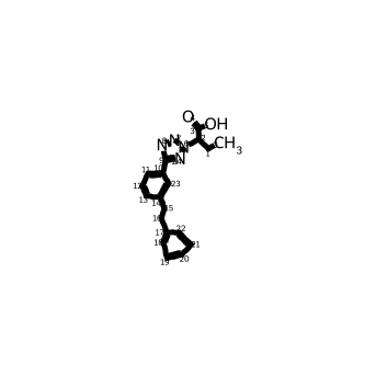 CCC(C(=O)O)n1nnc(-c2cccc(CCc3ccccc3)c2)n1